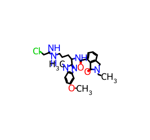 CCN1Cc2cccc(C(=O)NC(CCCNC(=N)CCl)c3nc4cc(OC)ccc4n3C)c2C1=O